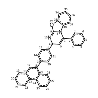 C1=C(c2ccccc2)N2C(=NC1c1ccc(-c3cc4ccccc4c4ccccc34)cc1)Oc1ccccc12